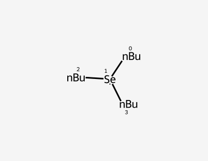 CCCC[Se](CCCC)CCCC